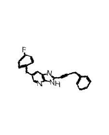 Fc1ccc(Cc2cnc3[nH]c(C#CCc4ccccc4)nc3c2)cc1